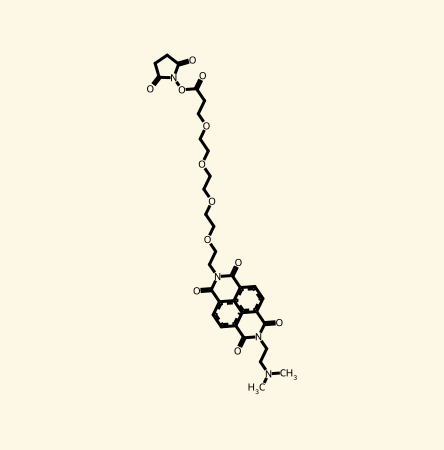 CN(C)CCN1C(=O)c2ccc3c4c(ccc(c24)C1=O)C(=O)N(CCOCCOCCOCCOCCC(=O)ON1C(=O)CCC1=O)C3=O